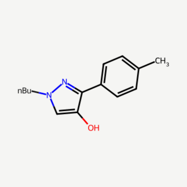 CCCCn1cc(O)c(-c2ccc(C)cc2)n1